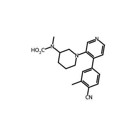 Cc1cc(-c2ccncc2N2CCCC(N(C)C(=O)O)C2)ccc1C#N